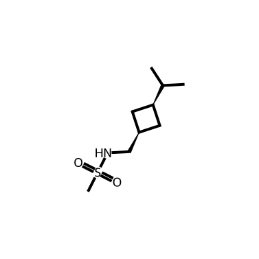 CC(C)[C@H]1C[C@@H](CNS(C)(=O)=O)C1